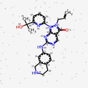 C=CCn1c(=O)c2cnc(Nc3ccc4c(c3)CNCC4)nc2n1-c1cccc(C(C)(C)O)n1